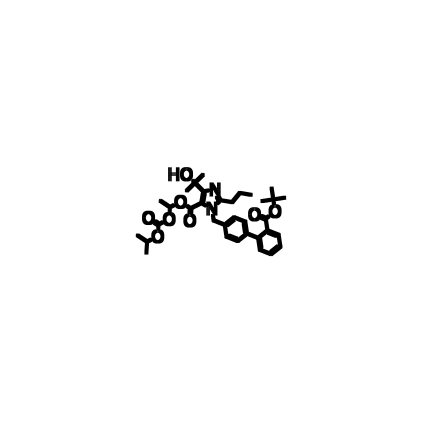 CCCc1nc(C(C)(C)O)c(C(=O)OC(C)OC(=O)OC(C)C)n1Cc1ccc(-c2ccccc2C(=O)OC(C)(C)C)cc1